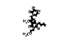 COCCn1c(=O)c2c(C)c(CN3CCNC(=O)C3=O)sc2n(CCCF)c1=O